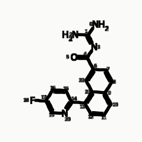 NC(N)=NC(=O)c1ccc2cccc(-c3ccc(F)cn3)c2c1